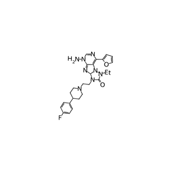 CCN1C(=O)N(CCN2CCC(c3ccc(F)cc3)CC2)C2N=C3C(=C(c4ccco4)N=CN3N)N21